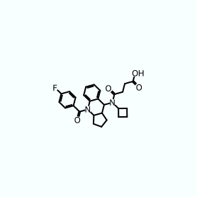 O=C(O)CCC(=O)N(C1CCC1)C1c2ccccc2N(C(=O)c2ccc(F)cc2)C2CCCC21